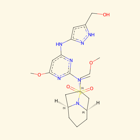 COCCS(=O)(=O)N1[C@@H]2CCC[C@H]1C[C@H](N(C)c1nc(Nc3cc(CO)[nH]n3)cc(OC)n1)C2